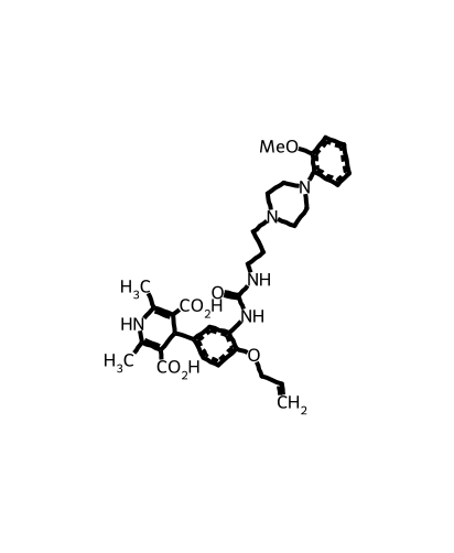 C=CCOc1ccc(C2C(C(=O)O)=C(C)NC(C)=C2C(=O)O)cc1NC(=O)NCCCN1CCN(c2ccccc2OC)CC1